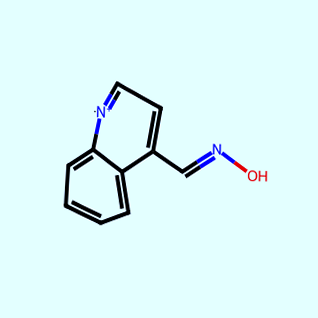 ON=CC1=CC=[N+]c2ccccc21